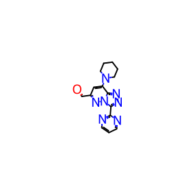 O=Cc1cc(N2CCCCC2)c2nnc(-c3ncccn3)n2n1